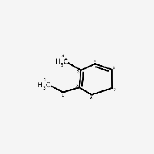 CCC1=C(C)C=CCC1